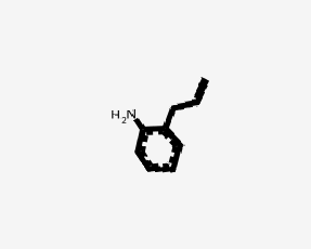 C=CCc1[c]cccc1N